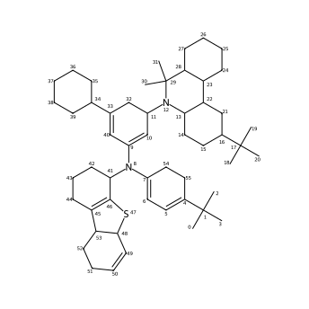 CC(C)(C)C1=CC=C(N(C2=CC(N3C4CCC(C(C)(C)C)CC4C4CCCCC4C3(C)C)CC(C3CCCCC3)=C2)C2CCCC3=C2SC2C=CCCC32)CC1